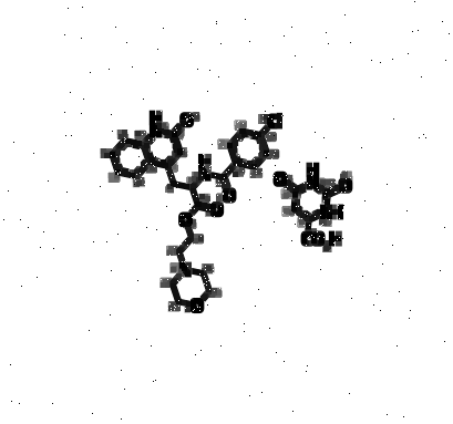 O=C(NC(Cc1cc(=O)[nH]c2ccccc12)C(=O)OCCN1CCOCC1)c1ccc(Cl)cc1.O=C(O)c1cc(=O)[nH]c(=O)[nH]1